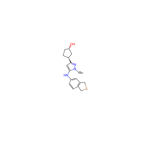 CC(C)(C)n1nc([C@H]2CC[C@@H](O)C2)cc1Nc1ccc2c(c1)CSC2